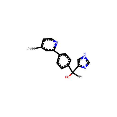 CC(=O)Nc1ccnc(-c2ccc(C(O)(c3c[nH]cn3)C(C)C)cc2)c1